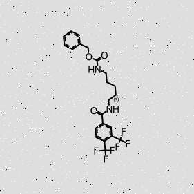 C[C@@H](CCCNC(=O)OCc1ccccc1)CNC(=O)c1ccc(C(F)(F)F)c(C(F)(F)F)c1